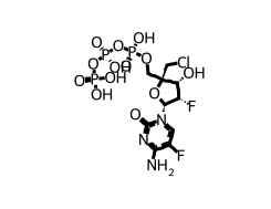 Nc1nc(=O)n([C@@H]2O[C@](CCl)(COP(=O)(O)OP(=O)(O)OP(=O)(O)O)[C@H](O)[C@@H]2F)cc1F